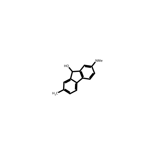 CNc1ccc2c(c1)C(O)c1cc(C)ccc1-2